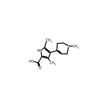 Cc1[nH]c(C(=O)O)c(C)c1C1=CCN(C)CC1